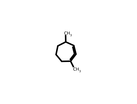 CC1=C=CC(C)CCC1